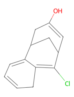 OC1=CC2CC(C1)C1=CC=CCC1=C2Cl